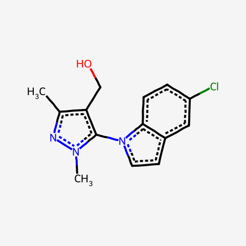 Cc1nn(C)c(-n2ccc3cc(Cl)ccc32)c1CO